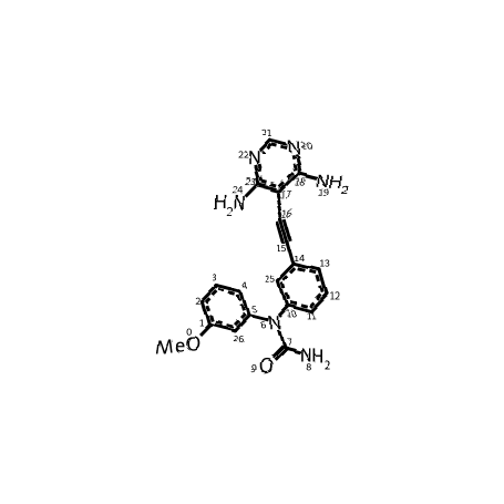 COc1cccc(N(C(N)=O)c2cccc(C#Cc3c(N)ncnc3N)c2)c1